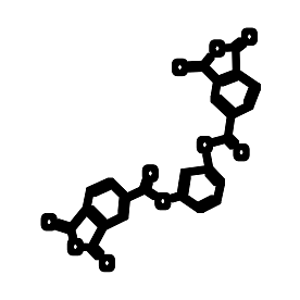 O=C(Oc1cccc(OC(=O)c2ccc3c(c2)C(=O)OC3=O)c1)c1ccc2c(c1)C(=O)OC2=O